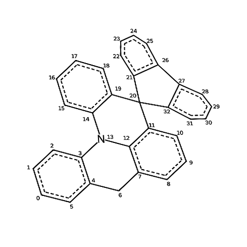 c1ccc2c(c1)Cc1cccc3c1N2c1ccccc1C31c2ccccc2-c2ccccc21